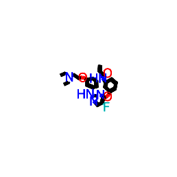 C=CC(=O)Nc1cccc(Oc2nc(NC3=CC(OCCN(CC)CC)CC=C3)ncc2F)c1